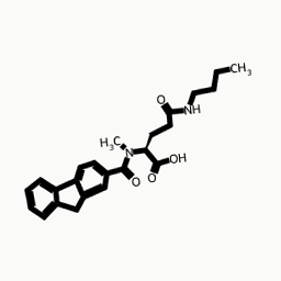 CCCCNC(=O)CC[C@@H](C(=O)O)N(C)C(=O)c1ccc2c(c1)Cc1ccccc1-2